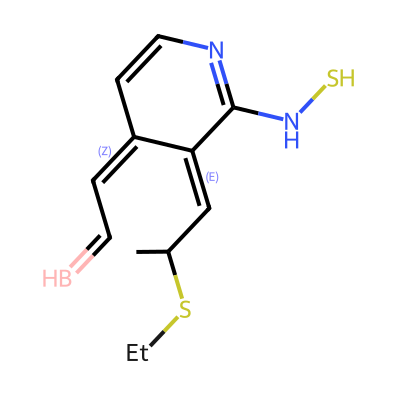 B=C/C=c1/ccnc(NS)/c1=C/C(C)SCC